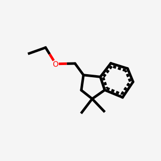 CCOCC1CC(C)(C)c2ccccc21